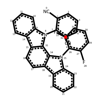 N#Cc1cccc(C#N)c1-n1c2ccccc2c2ccc3c4ccccc4n(-c4c(F)cccc4F)c3c21